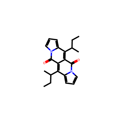 CCC(C)c1c2c(=O)n3cccc3c(C(C)CC)c2c(=O)n2cccc12